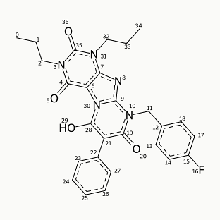 CCCn1c(=O)c2c(nc3n(Cc4ccc(F)cc4)c(=O)c(-c4ccccc4)c(O)n23)n(CCC)c1=O